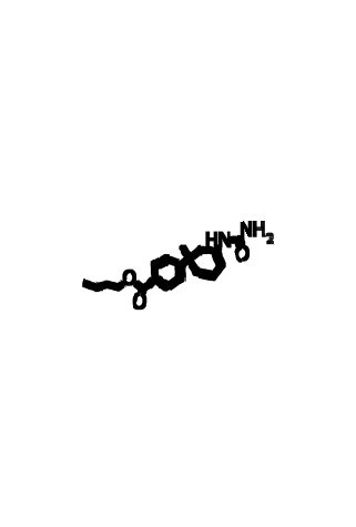 CCCCOC(=O)c1ccc(C2(C)C=CC=C(NC(N)=O)C2)cc1